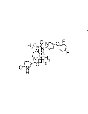 C[C@H](C(=O)Nc1ccc(Oc2ccc(F)cc2F)cn1)N1CCN(C(=O)c2ccc(=O)[nH]c2)C(C)(C)C1